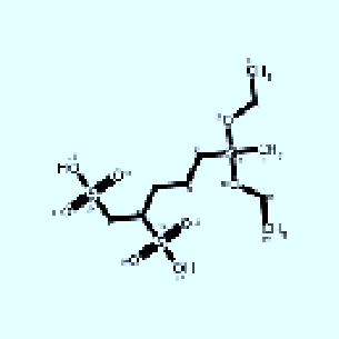 CCO[Si](C)(CCCC(CS(=O)(=O)O)S(=O)(=O)O)OCC